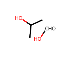 CC(C)O.O=CO